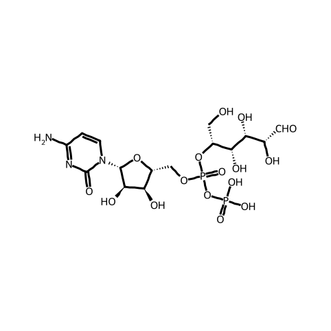 Nc1ccn([C@@H]2O[C@H](COP(=O)(O[C@H](CO)[C@@H](O)[C@H](O)[C@@H](O)C=O)OP(=O)(O)O)[C@@H](O)[C@H]2O)c(=O)n1